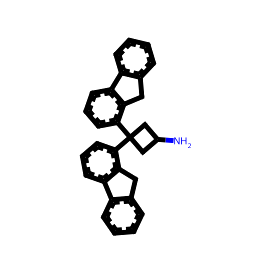 NC1CC(c2cccc3c2Cc2ccccc2-3)(c2cccc3c2Cc2ccccc2-3)C1